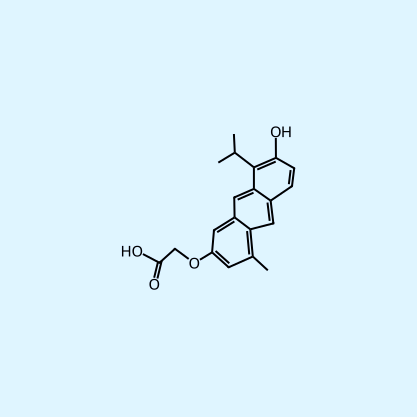 Cc1cc(OCC(=O)O)cc2cc3c(C(C)C)c(O)ccc3cc12